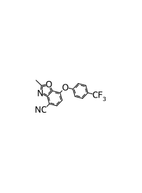 Cc1nc2c(C#N)ccc(Oc3ccc(C(F)(F)F)cc3)c2o1